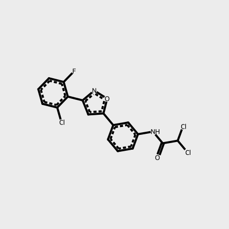 O=C(Nc1cccc(-c2cc(-c3c(F)cccc3Cl)no2)c1)C(Cl)Cl